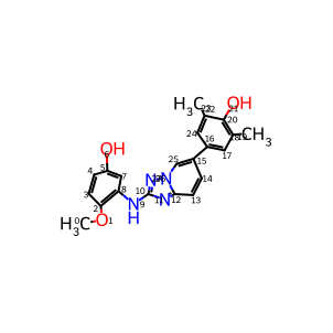 COc1ccc(O)cc1Nc1nc2ccc(-c3cc(C)c(O)c(C)c3)cn2n1